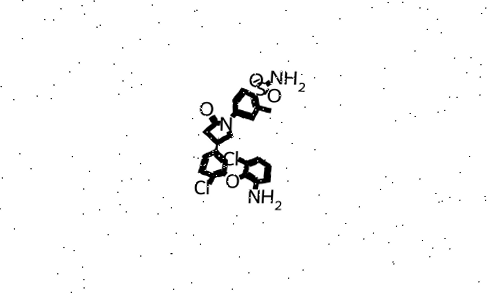 Cc1cc(N2C[C@@H](c3ccc(Cl)c(Oc4c(N)cccc4Cl)c3)CC2=O)ccc1S(N)(=O)=O